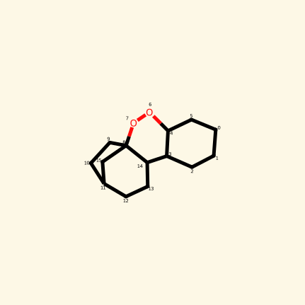 C1CCC2C(C1)OOC13CCC(CCC21)C3